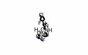 C[C@H](Nc1nccc(N2C(=O)OC/C2=C/F)n1)c1cn(-c2ccc(Cl)cc2F)cn1